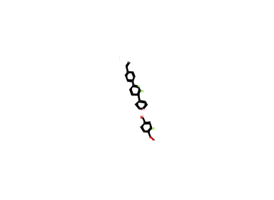 C/C=C/c1ccc(-c2ccc(-c3ccc(OC(=O)c4ccc(C5CO5)c(F)c4)cc3)c(F)c2F)cc1